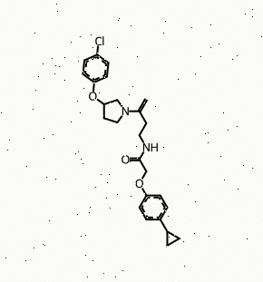 C=C(CCNC(=O)COc1ccc(C2CC2)cc1)N1CCC(Oc2ccc(Cl)cc2)C1